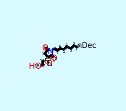 CCCCCCCCCCCCCCCCC=CN1C(=O)CC([S+]([O-])CCO)C1=O